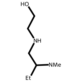 CCC(CNCCO)NC